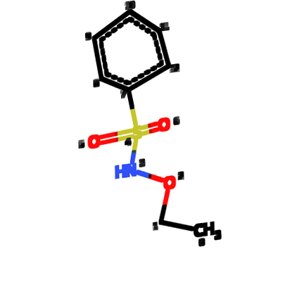 CCONS(=O)(=O)c1ccccc1